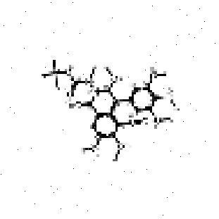 COc1cc(C2=c3c(cc(OC)c(OC)c3=C=O)C(=O)N(N(C)C(=O)OC(C)(C)C)C2OC)cc(OC)c1OC